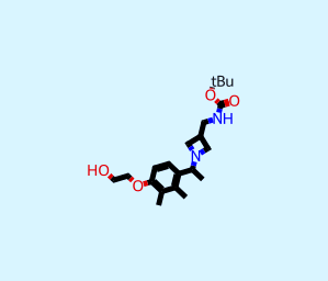 Cc1c(OCCO)ccc(C(C)N2CC(CNC(=O)OC(C)(C)C)C2)c1C